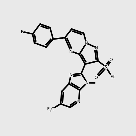 CCS(=O)(=O)c1nn2ccc(-c3ccc(F)cc3)nc2c1-c1nc2cc(C(F)(F)F)cnc2n1C